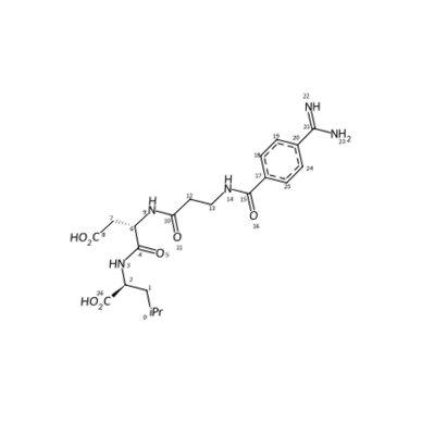 CC(C)C[C@H](NC(=O)[C@H](CC(=O)O)NC(=O)CCNC(=O)c1ccc(C(=N)N)cc1)C(=O)O